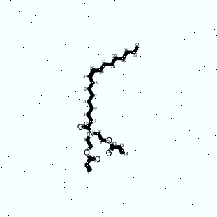 C=CC(=O)OCCN(CCOC(=O)C=C)C(=O)CCCCCCC/C=C\CCCCCCCC